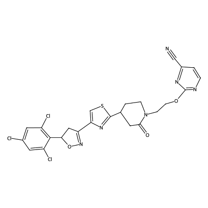 N#Cc1ccnc(OCCN2CCC(c3nc(C4=NOC(c5c(Cl)cc(Cl)cc5Cl)C4)cs3)CC2=O)n1